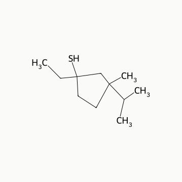 CCC1(S)CCC(C)(C(C)C)C1